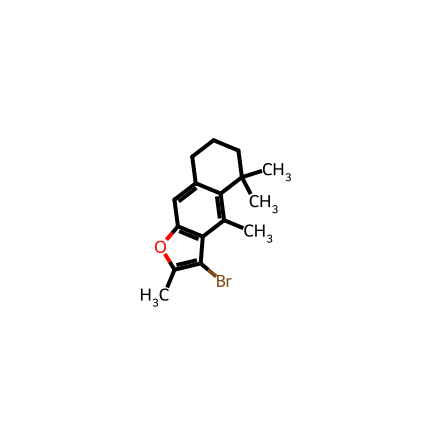 Cc1oc2cc3c(c(C)c2c1Br)C(C)(C)CCC3